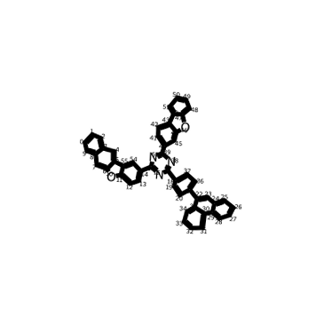 c1ccc2cc3c(cc2c1)oc1ccc(-c2nc(-c4ccc(-c5cc6ccccc6c6ccccc56)cc4)nc(-c4ccc5c(c4)oc4ccccc45)n2)cc13